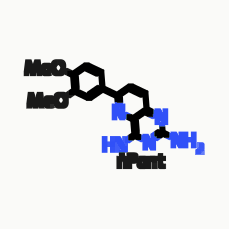 CCCCCNc1nc(N)nc2ccc(-c3ccc(OC)c(OC)c3)nc12